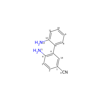 N#Cc1ccc(N)c(-c2ccccc2N)c1